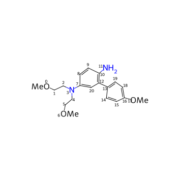 COCCN(CCOC)c1ccc(N)c(-c2ccc(OC)cc2)c1